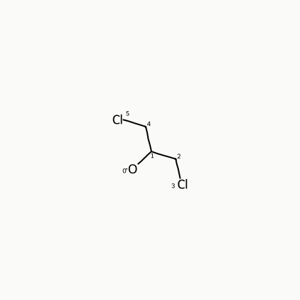 [O]C(CCl)CCl